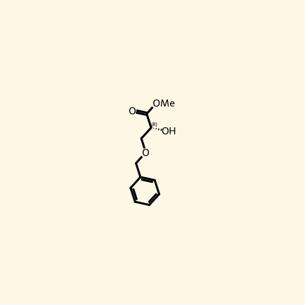 COC(=O)[C@H](O)COCc1ccccc1